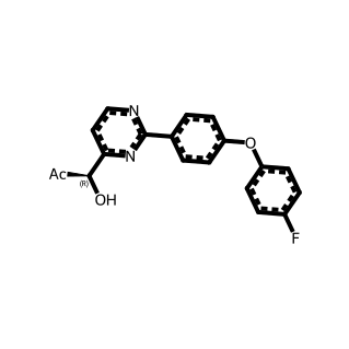 CC(=O)[C@H](O)c1ccnc(-c2ccc(Oc3ccc(F)cc3)cc2)n1